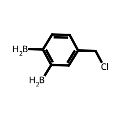 Bc1ccc(CCl)cc1B